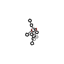 O=c1c2oc(-c3ccccc3)cc2c2cccc3c2n1-c1ccccc1C31c2ccccc2N(c2ccc(-c3ccccc3)cc2)c2ccc(-c3ccccc3)cc21